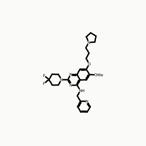 COc1cc2c(NCc3ccccn3)nc(N3CCC(F)(F)CC3)nc2cc1OCCCN1CCCC1